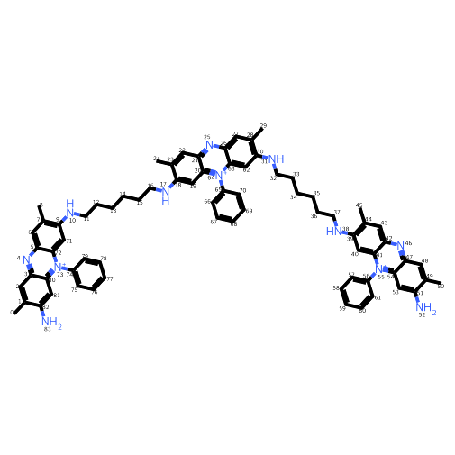 Cc1cc2nc3cc(C)c(NCCCCCCNc4cc5c(cc4C)nc4cc(C)c(NCCCCCCNc6cc7c(cc6C)nc6cc(C)c(N)cc6[n+]7-c6ccccc6)cc4[n+]5-c4ccccc4)cc3[n+](-c3ccccc3)c2cc1N